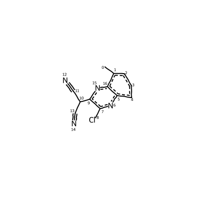 Cc1cccc2nc(Cl)c(C(C#N)C#N)nc12